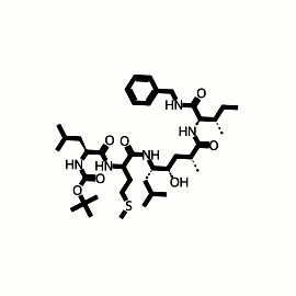 CC[C@H](C)[C@H](NC(=O)[C@H](C)C[C@H](O)[C@H](CC(C)C)NC(=O)C(CCSC)NC(=O)[C@H](CC(C)C)NC(=O)OC(C)(C)C)C(=O)NCc1ccccc1